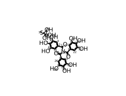 O=C(c1cc(O)c(O)c(O)c1)N(C(=O)c1cc(O)c(O)c(O)c1)C(=O)c1cc(O)c(O)c(O)c1.OP(O)(O)=S